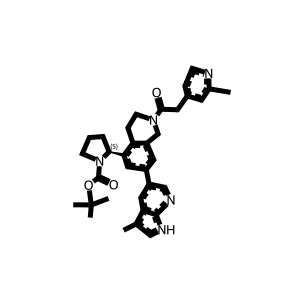 Cc1cc(CC(=O)N2CCc3c(cc(-c4cnc5[nH]cc(C)c5c4)cc3[C@@H]3CCCN3C(=O)OC(C)(C)C)C2)ccn1